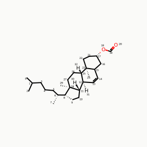 CC(C)CCC[C@@H](C)[C@H]1CC[C@H]2[C@@H]3C=CC4C[C@@H](OC=O)CC[C@]4(C)[C@H]3CC[C@]12C